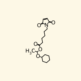 CC(OC(=O)CCCCCN1C(=O)C=CC1=O)OC1CCCCC1